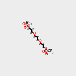 O=S(=O)(OCCCOCCCOCCCOS(=O)(=O)C(F)(F)F)C(F)(F)F